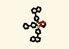 C1=CC(N(c2ccccc2)c2ccc(-c3cccc4ccccc34)cc2)(N(c2ccccc2)c2ccc(-c3cccc4ccccc34)cc2)C=CC1c1ccccc1